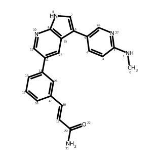 CNc1ccc(-c2c[nH]c3ncc(-c4cccc(C=CC(N)=O)c4)cc23)cn1